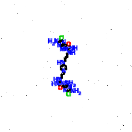 N=C(NCCCCNC1CCN(CCCNC(=N)NC(=O)c2nc(Cl)c(N)nc2N)CC1)NC(=O)c1nc(Cl)c(N)nc1N